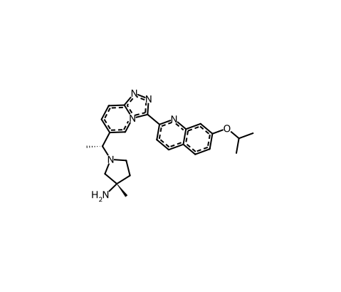 CC(C)Oc1ccc2ccc(-c3nnc4ccc([C@@H](C)N5CC[C@](C)(N)C5)cn34)nc2c1